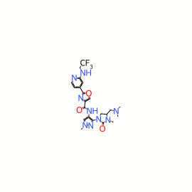 CN(C)CC1CN(c2nn(C)cc2NC(=O)c2coc(-c3ccnc(NCC(F)(F)F)c3)n2)C(=O)N1C